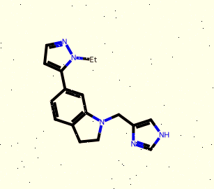 CCn1nccc1-c1ccc2c(c1)N(Cc1c[nH]cn1)CC2